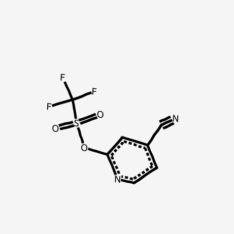 N#Cc1ccnc(OS(=O)(=O)C(F)(F)F)c1